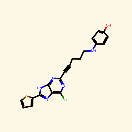 Oc1ccc(NCCCC#Cc2nc(Cl)c3nc(-c4cccs4)[nH]c3n2)cc1